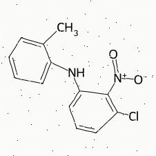 Cc1ccccc1Nc1cccc(Cl)c1[N+](=O)[O-]